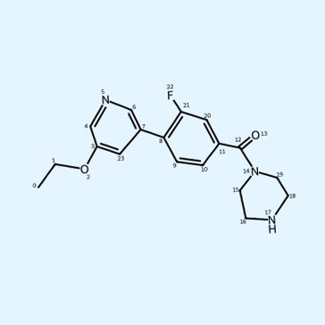 CCOc1cncc(-c2ccc(C(=O)N3CCNCC3)cc2F)c1